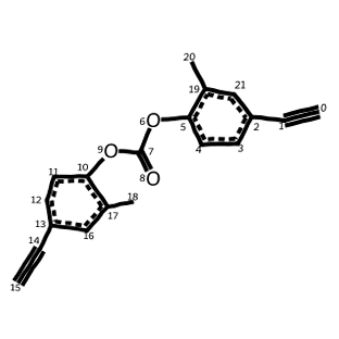 C#Cc1ccc(OC(=O)Oc2ccc(C#C)cc2C)c(C)c1